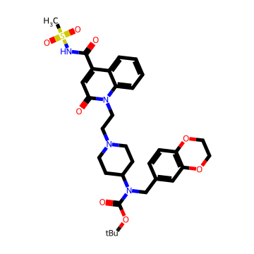 CC(C)(C)OC(=O)N(Cc1ccc2c(c1)OCCO2)C1CCN(CCn2c(=O)cc(C(=O)NS(C)(=O)=O)c3ccccc32)CC1